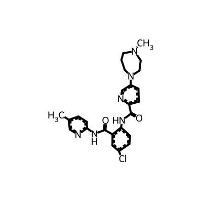 Cc1ccc(NC(=O)c2cc(Cl)ccc2NC(=O)c2ccc(N3CCCN(C)CC3)cn2)nc1